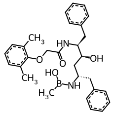 CB(O)N[C@@H](Cc1ccccc1)C[C@H](O)[C@H](Cc1ccccc1)NC(=O)COc1c(C)cccc1C